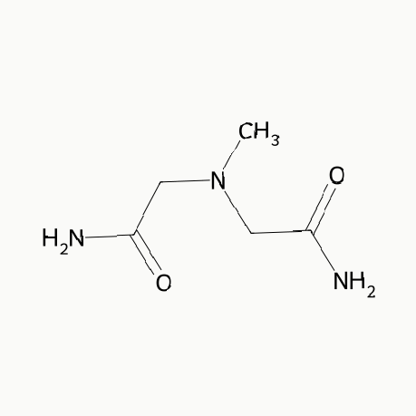 CN(CC(N)=O)CC(N)=O